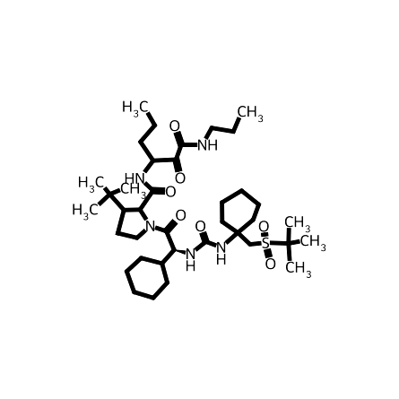 CCCNC(=O)C(=O)C(CCC)NC(=O)C1C(C(C)(C)C)CCN1C(=O)[C@@H](NC(=O)NC1(CS(=O)(=O)C(C)(C)C)CCCCC1)C1CCCCC1